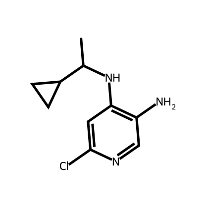 CC(Nc1cc(Cl)ncc1N)C1CC1